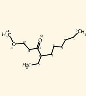 CCCCCCC(CC)C(=O)CCOC